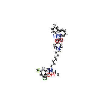 CN(CCCCCCCCCN1CCC(OC(=O)Nc2ccccc2-c2ccccc2)CC1)Cc1cc(F)cc(Cl)c1O